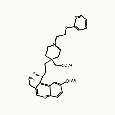 COc1ccc2ncc(CN)c([C@@H](F)CCC3(CC(=O)O)CCN(CCSc4ccccn4)CC3)c2c1